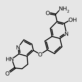 NC(=O)c1cc2cc(Oc3ccnc4c3CCC(=O)N4)ccc2nc1O